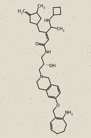 C=C1CC(C/C(=C\C(=O)NC[C@H](O)CN2CCc3cc(OCC4=C(N)CCCC=C4)ccc3C2)C(C)NC2CCC2)CC1C